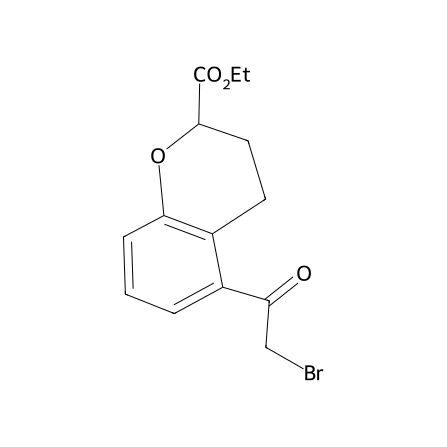 CCOC(=O)C1CCc2c(cccc2C(=O)CBr)O1